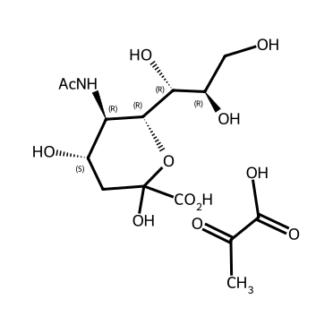 CC(=O)C(=O)O.CC(=O)N[C@H]1[C@H]([C@H](O)[C@H](O)CO)OC(O)(C(=O)O)C[C@@H]1O